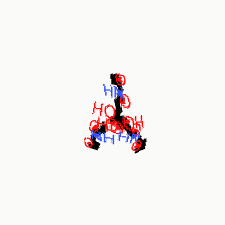 O=C(CCOCC(CO)(C(O)CCC(=O)NCc1ccco1)C(O)CCC(=O)NCc1ccco1)NCc1ccco1